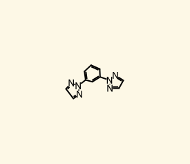 c1cc(-n2nccn2)cc(-n2nccn2)c1